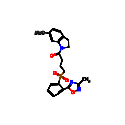 COc1ccc2c(c1)N(C(=O)CCCS(=O)(=O)c1ccccc1-c1nc(C)no1)CC2